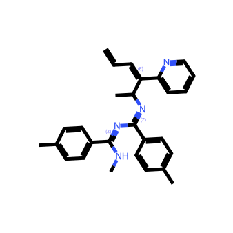 C=C/C=C(/c1ccccn1)C(C)/N=C(\N=C(/NC)c1ccc(C)cc1)c1ccc(C)cc1